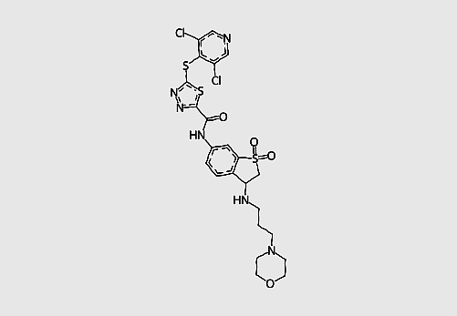 O=C(Nc1ccc2c(c1)S(=O)(=O)CC2NCCCN1CCOCC1)c1nnc(Sc2c(Cl)cncc2Cl)s1